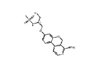 CC(=O)Nc1nccc2c1COc1cc(OC[C@H](CC(C)C)NS(C)(=O)=O)ccc1-2